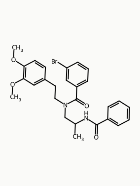 COc1ccc(CCN(CC(C)NC(=O)c2ccccc2)C(=O)c2cccc(Br)c2)cc1OC